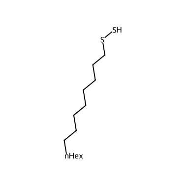 CCCCCCCCCCCCCCSS